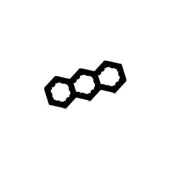 [c]1cccc2cc3ccc[c]c3[c]c12